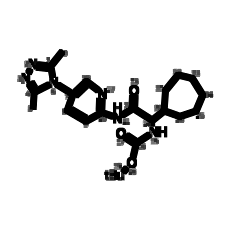 Cc1nnc(C)n1-c1ccc(NC(=O)[C@@H](NC(=O)OC(C)(C)C)C2CCCCCC2)nc1